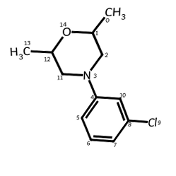 CC1CN(c2cccc(Cl)c2)CC(C)O1